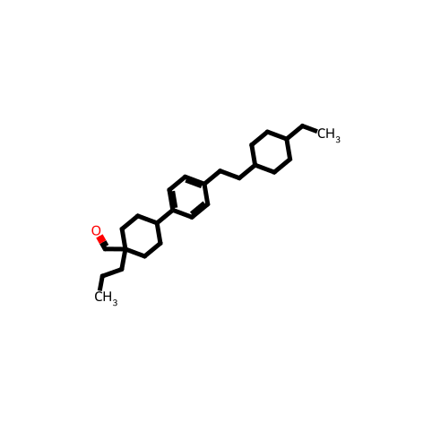 CCCC1(C=O)CCC(c2ccc(CCC3CCC(CC)CC3)cc2)CC1